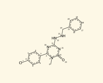 Cn1c(-c2ccc(Cl)cc2)nc(NNCc2ccccc2)nc1=O